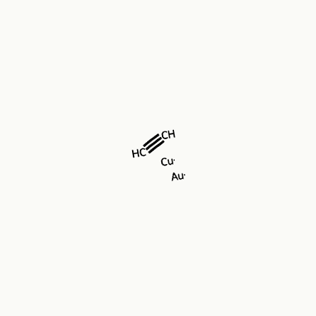 C#C.[Au].[Cu]